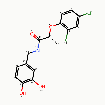 C[C@@H](Oc1ccc(Cl)cc1Cl)C(=O)NCc1ccc(O)c(O)c1